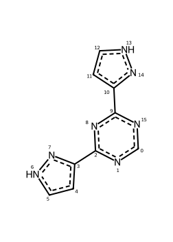 c1nc(-c2cc[nH]n2)nc(-c2cc[nH]n2)n1